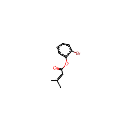 CC(C)=CC(=O)Oc1ccccc1Br